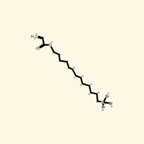 C=CC(=O)OCCCCCCCCCCCCC[Si](Br)(Br)Br